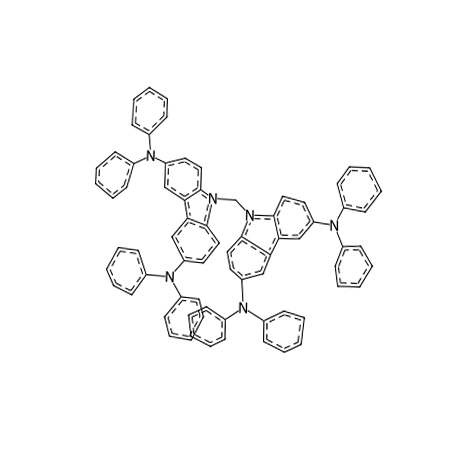 c1ccc(N(c2ccccc2)c2ccc3c(c2)c2cc(N(c4ccccc4)c4ccccc4)ccc2n3Cn2c3ccc(N(c4ccccc4)c4ccccc4)cc3c3cc(N(c4ccccc4)c4ccccc4)ccc32)cc1